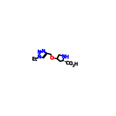 CCn1cc(CO[C@H]2CN[C@H](C(=O)O)C2)nn1